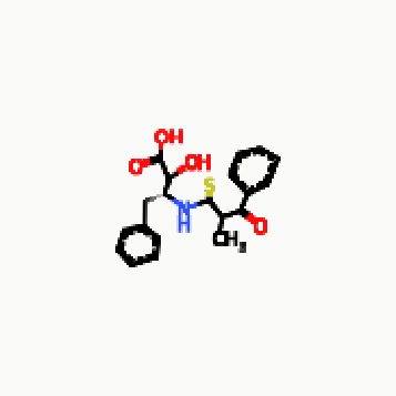 CC(C(=O)c1ccccc1)C(=S)N[C@H](Cc1ccccc1)[C@H](O)C(=O)O